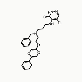 O=c1[nH]ncc(Cl)c1NCCCN(CCOC1=COC(C2=CC=CCC2)=CO1)Cc1ccccc1